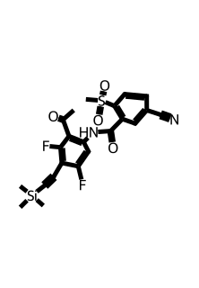 CC(=O)c1c(NC(=O)c2cc(C#N)ccc2S(C)(=O)=O)cc(F)c(C#C[Si](C)(C)C)c1F